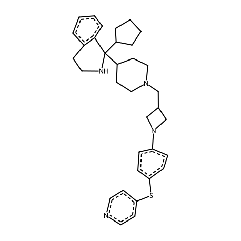 c1ccc2c(c1)CCNC2(C1CCCC1)C1CCN(CC2CN(c3ccc(Sc4ccncc4)cc3)C2)CC1